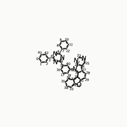 c1ccc(-c2nc(-c3ccccc3)nc(-c3cccc(-n4c5ncncc5c5ccc6oc7ccccc7c6c54)c3)n2)cc1